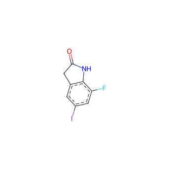 O=C1Cc2cc(I)cc(F)c2N1